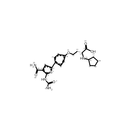 NC(=O)Nc1sc(-c2ccc(OCC[C@@H](NC3CCCC3)C(=O)O)cc2)cc1C(N)=O